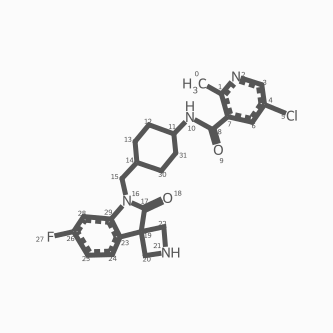 Cc1ncc(Cl)cc1C(=O)NC1CCC(CN2C(=O)C3(CNC3)c3ccc(F)cc32)CC1